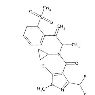 C=C(c1ccccc1S(C)(=O)=O)C(C)N(C(=O)c1c(C(F)F)nn(C)c1F)C1CC1